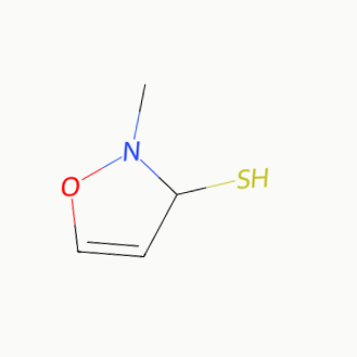 CN1OC=CC1S